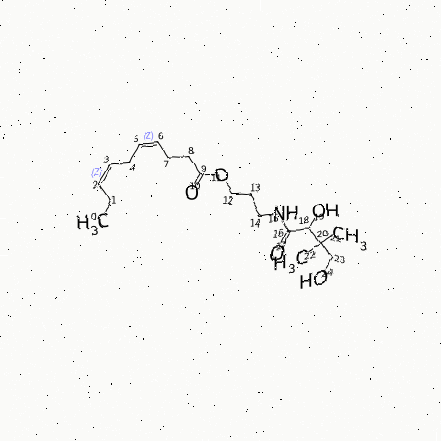 CC/C=C\C/C=C\CCC(=O)OCCCNC(=O)C(O)C(C)(C)CO